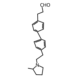 CC1CCCN1CCc1ccc(-c2ccc(CCC=O)cc2)cc1